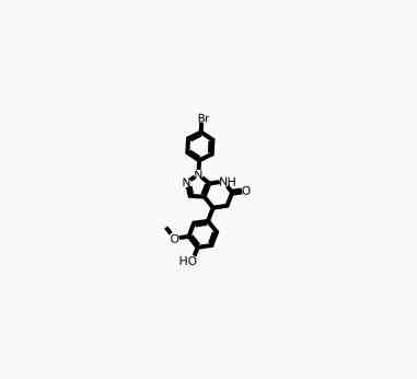 COc1cc(C2CC(=O)Nc3c2cnn3-c2ccc(Br)cc2)ccc1O